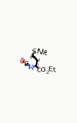 CCOC(=O)C(CCSC)N=C=O